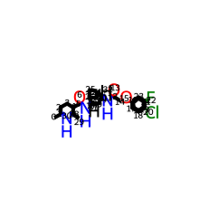 CC1CCC(C(=O)N[C@@H]2C[C@H](NC(=O)COc3ccc(Cl)c(F)c3)C3CC2C3)C(C)N1